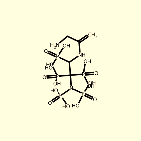 C=C(CN)NC(C(N(P(=O)(O)O)P(=O)(O)O)(P(=O)(O)O)P(=O)(O)O)P(=O)(O)O